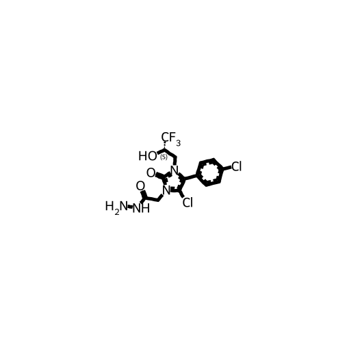 NNC(=O)Cn1c(Cl)c(-c2ccc(Cl)cc2)n(C[C@H](O)C(F)(F)F)c1=O